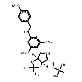 COc1ccc(CNc2nc(OC)c([C@@H]3N[C@H](CO[Si](C)(C)C(C)(C)C)[C@H]4OC(C)(C)O[C@H]43)c(OC)n2)cc1